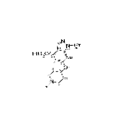 CCOC(=O)c1cc(OC2CCN(C)CC2)nc2c1cnn2C(C)C